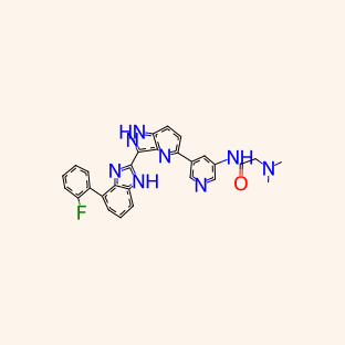 CN(C)CC(=O)Nc1cncc(-c2ccc3[nH]nc(-c4nc5c(-c6ccccc6F)cccc5[nH]4)c3n2)c1